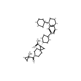 O=C(N1CCC2(CC1)C[C@@]2(C(=O)O)C1CCC(c2ccc3c(c2)N(C2CCCCC2)CCC3)CC1)C1(O)CC1